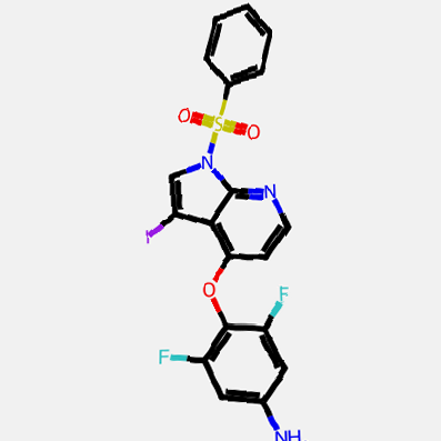 Nc1cc(F)c(Oc2ccnc3c2c(I)cn3S(=O)(=O)c2ccccc2)c(F)c1